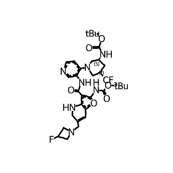 CC(C)(C)OC(=O)Nc1oc2c(c1C(=O)Nc1cnccc1N1C[C@@H](NC(=O)OC(C)(C)C)C[C@@H](C(F)(F)F)C1)NCC(CN1CC(F)C1)=C2